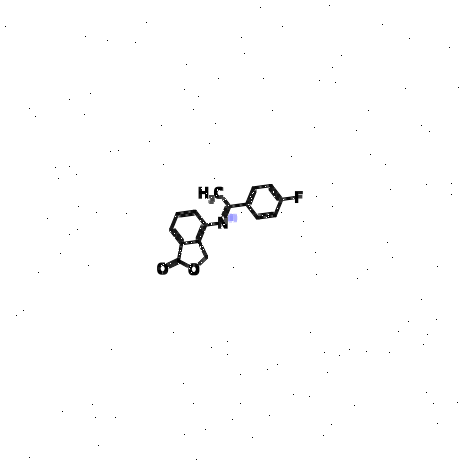 C/C(=N\c1cccc2c1COC2=O)c1ccc(F)cc1